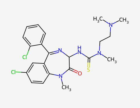 CN(C)CCN(C)C(=S)NC1N=C(c2ccccc2Cl)c2cc(Cl)ccc2N(C)C1=O